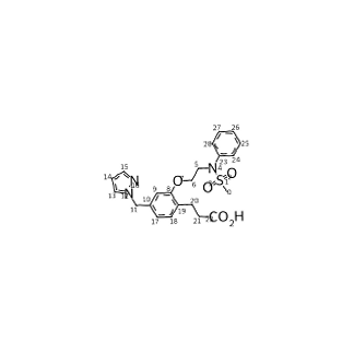 CS(=O)(=O)N(CCOc1cc(Cn2cccn2)ccc1CCC(=O)O)c1ccccc1